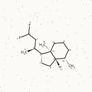 C[C@@H](CC(F)F)[C@H]1CC[C@H]2[C@@H](C)CCC[C@]12C